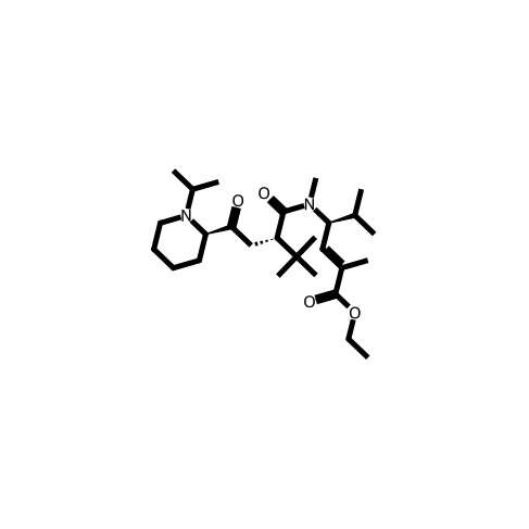 CCOC(=O)/C(C)=C/[C@H](C(C)C)N(C)C(=O)[C@@H](CC(=O)[C@H]1CCCCN1C(C)C)C(C)(C)C